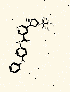 CC(C)(C)[C@@H]1CNC(c2cncc(C(=O)Nc3ccc(Oc4ccccc4)cc3)c2)C1